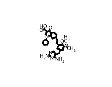 COc1cc(Cc2cnc(N)nc2N)cc(C=Cc2ccc3c(=O)c(C(=O)O)cn(C4CCCCC4)c3c2)c1OC